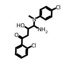 CN(c1ccc(Cl)cc1)C(N)C(O)CC(=O)c1ccccc1Cl